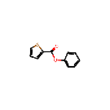 O=C(Oc1ccccc1)c1cccs1